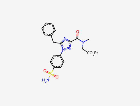 CCOC(=O)CN(C)C(=O)c1nc(Cc2ccccc2)n(-c2ccc(S(N)(=O)=O)cc2)n1